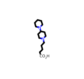 O=C(O)CCCCN1CCC(N2CCCCC2)CC1